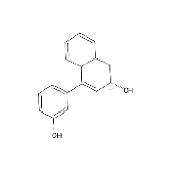 Oc1cccc(C2=C[C@@H](O)CC3C=CC=CC23)c1